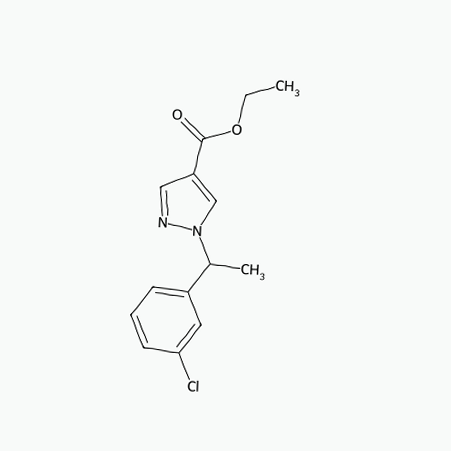 CCOC(=O)c1cnn(C(C)c2cccc(Cl)c2)c1